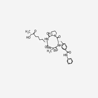 CC[C@]1(C)NC(=O)[C@H](CCCCCC(=O)[C@@H](C)O)NC(=O)[C@H]2CCCN2C(=O)[C@H](Cc2ccc(C(=O)Nc3ccccc3)cc2)NC1=O